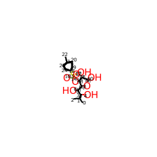 CC(C)=C(O)[C@@H](O)[C@H]1O[C@H](O)[C@H](O)[C@@H]1OS(=O)(=O)c1ccc(C)cc1